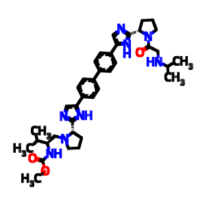 COC(=O)N[C@H](CN1CCC[C@H]1c1ncc(-c2ccc(-c3ccc(-c4cnc([C@@H]5CCCN5C(=O)CNC(C)C)[nH]4)cc3)cc2)[nH]1)C(C)C